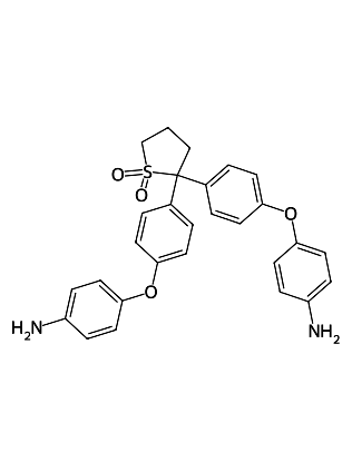 Nc1ccc(Oc2ccc(C3(c4ccc(Oc5ccc(N)cc5)cc4)CCCS3(=O)=O)cc2)cc1